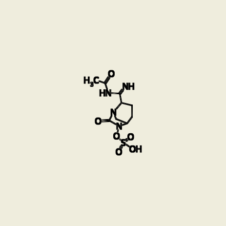 CC(=O)NC(=N)C1CCC2CN1C(=O)N2OS(=O)(=O)O